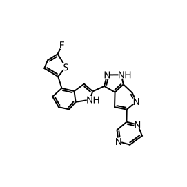 Fc1ccc(-c2cccc3[nH]c(-c4n[nH]c5cnc(-c6cnccn6)cc45)cc23)s1